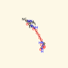 CCc1cc2c(cc1N1CCC(NC(=O)CCOCCOCCOCCOCCOCCNc3cccc4c3C(=O)N(C3CCC(=O)NC3=O)C4=O)CC1)C(C)(C)c1[nH]c3cc(C#N)ccc3c1C2=O